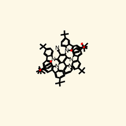 CC(C)(C)c1ccc2c(c1)c1cc(C(C)(C)C)ccc1n2-c1c(C#N)c(-n2c3ccc(C(C)(C)C)cc3c3cc(C(C)(C)C)ccc32)c(-n2c3ccc(C(C)(C)C)cc3c3cc(C(C)(C)C)ccc32)c(-c2ccccn2)c1-n1c2ccc(C(C)(C)C)cc2c2cc(C(C)(C)C)ccc21